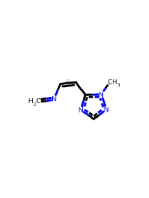 C=N/C=C\c1ncnn1C